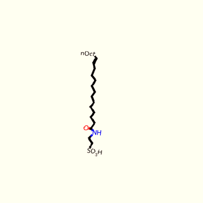 CCCCCCCCC=CCCCCCCCCCCCC(=O)NCCS(=O)(=O)O